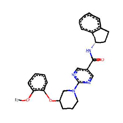 CCOc1ccccc1OC1CCCN(c2ncc(C(=O)N[C@H]3CCc4ccccc43)cn2)C1